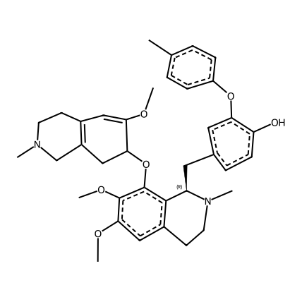 COC1=CC2=C(CC1Oc1c(OC)c(OC)cc3c1[C@@H](Cc1ccc(O)c(Oc4ccc(C)cc4)c1)N(C)CC3)CN(C)CC2